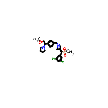 COCC(c1ccc(CN2CC(=C(c3cc(F)cc(F)c3)S(C)(=O)=O)C2)cc1)N1CCCC1